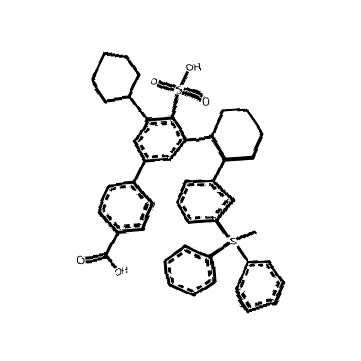 CS(c1ccccc1)(c1ccccc1)c1cccc(C2CCCCC2c2cc(-c3ccc(C(=O)O)cc3)cc(C3CCCCC3)c2S(=O)(=O)O)c1